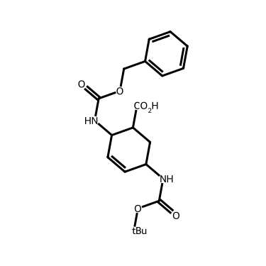 CC(C)(C)OC(=O)NC1C=CC(NC(=O)OCc2ccccc2)C(C(=O)O)C1